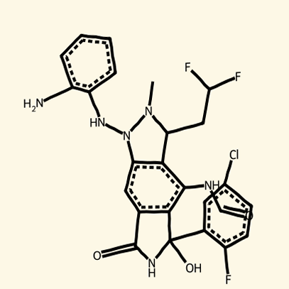 CN1C(CC(F)F)c2c(cc3c(c2NC=O)C(O)(c2cc(Cl)ccc2F)NC3=O)N1Nc1ccccc1N